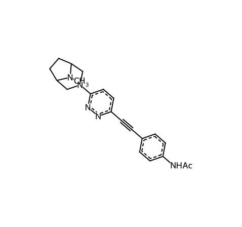 CC(=O)Nc1ccc(C#Cc2ccc(N3CC4CCC(C3)N4C)nn2)cc1